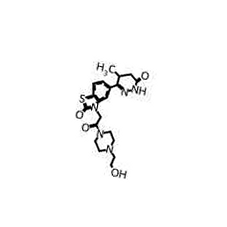 CC1CC(=O)NN=C1c1ccc2sc(=O)n(CC(=O)N3CCN(CCO)CC3)c2c1